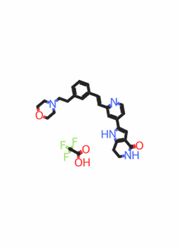 O=C(O)C(F)(F)F.O=C1NCCc2[nH]c(-c3ccnc(C=Cc4cccc(CCN5CCOCC5)c4)c3)cc21